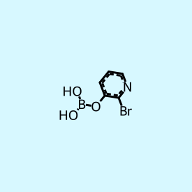 OB(O)Oc1cccnc1Br